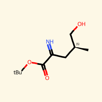 C[C@H](CO)CC(=N)C(=O)OC(C)(C)C